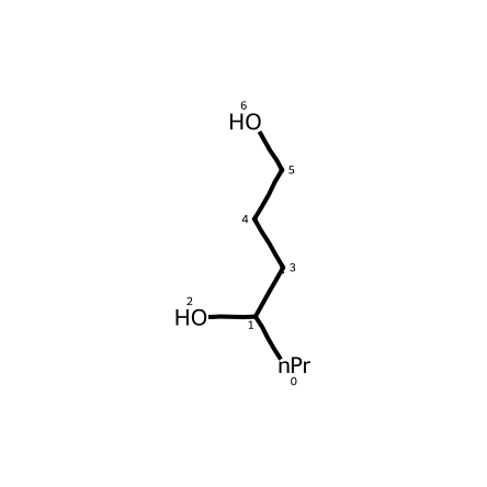 CCCC(O)[CH]CCO